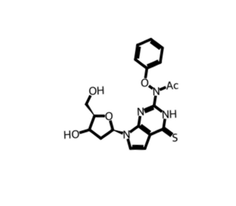 CC(=O)N(Oc1ccccc1)c1nc2c(ccn2[C@H]2CC(O)[C@@H](CO)O2)c(=S)[nH]1